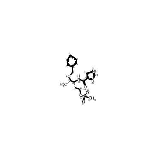 C[C@H](OCc1ccccc1)[C@@H](CCOS(C)(=O)=O)NC(=O)c1c[nH]cn1